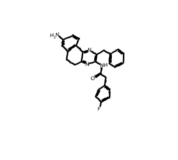 Nc1ccc2c(c1)CCc1nc(NC(=O)Cc3ccc(F)cc3)c(Cc3ccccc3)nc1-2